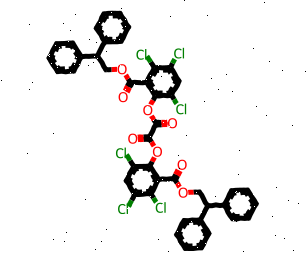 O=C(Oc1c(Cl)cc(Cl)c(Cl)c1C(=O)OCC(c1ccccc1)c1ccccc1)C(=O)Oc1c(Cl)cc(Cl)c(Cl)c1C(=O)OCC(c1ccccc1)c1ccccc1